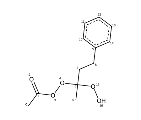 CC(=O)OOC(C)(CCc1ccccc1)OO